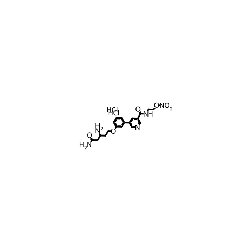 Cl.Cl.NC(=O)CC(N)CCOc1cccc(-c2cncc(C(=O)NCCO[N+](=O)[O-])c2)c1